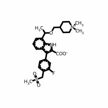 CC(OCC1CC[N+](C)(C)CC1)c1cccc2c(-c3ccc(CS(C)(=O)=O)c(F)c3)c(C(=O)[O-])[nH]c12